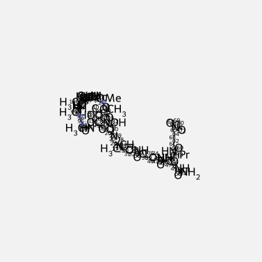 CO[C@H]1/C=C/O[C@@]2(C)Oc3c(C)c(O)c4c(=O)c(c5oc6cc(N7CCC([N+](C)(C)Cc8ccc(NC(=O)OCc9ccc(NC(=O)[C@H](CCCNC(N)=O)NC(=O)[C@@H](NC(=O)CCCCCN%10C(=O)C=CC%10=O)C(C)C)cc9)cc8)CC7)cc(O)c6nc-5c4c3C2=O)NC(=O)/C(C)=C\C=C\[C@H](C)[C@@H]2O[C@H]([C@H](O)[C@@H]2C)[C@H](OC(C)=O)[C@@H]1C